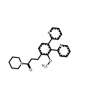 COc1c(CCC(=O)N2CCCCC2)ccc(-c2ccccn2)c1-c1ccccn1